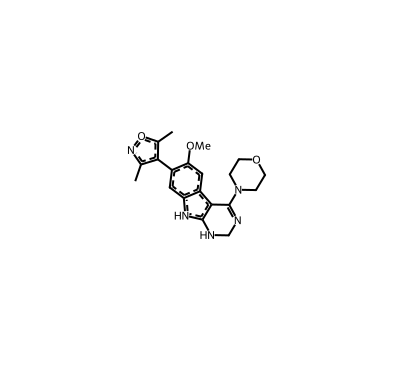 COc1cc2c3c([nH]c2cc1-c1c(C)noc1C)NCN=C3N1CCOCC1